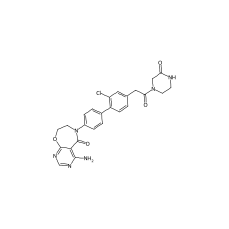 Nc1ncnc2c1C(=O)N(c1ccc(-c3ccc(CC(=O)N4CCNC(=O)C4)cc3Cl)cc1)CCO2